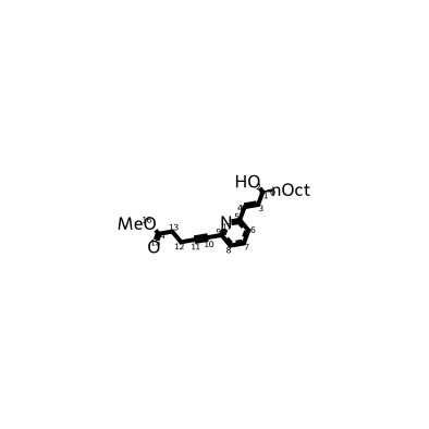 CCCCCCCC[C@H](O)/C=C/c1cccc(C#CCCC(=O)OC)n1